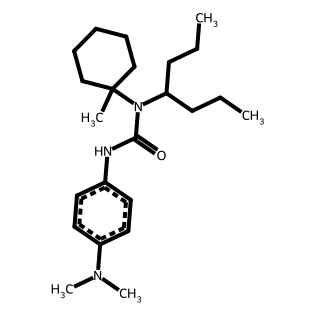 CCCC(CCC)N(C(=O)Nc1ccc(N(C)C)cc1)C1(C)CCCCC1